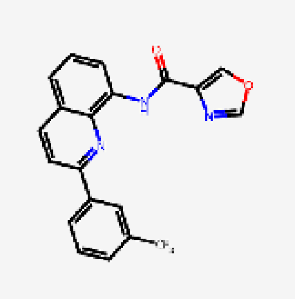 O=C(Nc1cccc2ccc(-c3cccc(C(F)(F)F)c3)nc12)c1cocn1